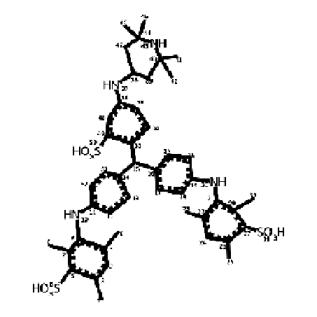 Cc1cc(C)c(S(=O)(=O)O)c(C)c1Nc1ccc(C(c2ccc(Nc3c(C)cc(C)c(S(=O)(=O)O)c3C)cc2)c2ccc(NC3CC(C)(C)NC(C)(C)C3)cc2S(=O)(=O)O)cc1